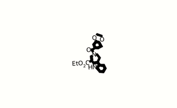 CCOC(=O)C1=CN(C(=O)c2ccc3c(c2)OCCO3)CCc2c1[nH]c1ccccc21